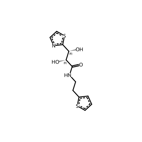 O=C(NCCc1cccs1)[C@H](O)[C@@H](O)c1nccs1